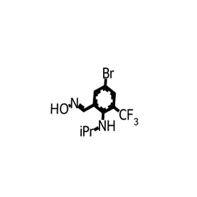 CC(C)Nc1c(C=NO)cc(Br)cc1C(F)(F)F